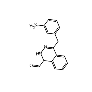 Nc1cccc(CC2=NNC(C=O)c3ccccc32)c1